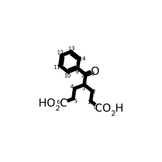 O=C(O)CCC(CCC(=O)O)C(=O)c1ccccc1